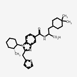 C[C@@H]1CCCCC1n1c(Cc2cccs2)nc2cc(C(=O)NC(CC3CCC(C)(C)CC3)C(=O)O)ccc21